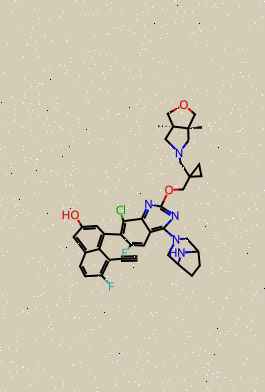 C#Cc1c(F)ccc2cc(O)cc(-c3c(F)cc4c(N5CC6CCC(C5)N6)nc(OCC5(CN6C[C@@]7(C)COC[C@]7(C)C6)CC5)nc4c3Cl)c12